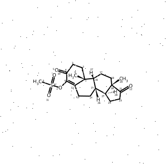 C[C@]12CCC(=O)C(OS(C)(=O)=O)=C1CC[C@@H]1[C@H]2CC[C@]2(C)C(=O)CC[C@@H]12